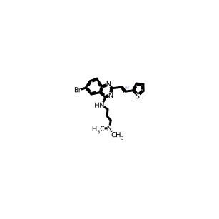 CN(C)CCCNc1nc(/C=C/c2cccs2)nc2ccc(Br)cc12